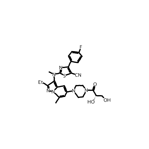 CCc1nn2c(C)cc(N3CCN(C(=O)[C@@H](O)CO)CC3)cc2c1N(C)c1nc(-c2ccc(F)cc2)c(C#N)s1